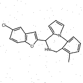 Cc1cccc2c1CNC(c1cc3cc(Cl)ccc3o1)c1cccn1-2